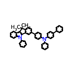 CC1(C)c2ccc(-c3ccc(N(c4ccccc4)c4ccc(-c5ccccc5)cc4)cc3)cc2-c2c1c1ccccc1n2-c1ccccc1